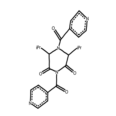 CC(C)C1C(=O)N(C(=O)c2ccncc2)C(=O)C(C(C)C)N1C(=O)c1ccncc1